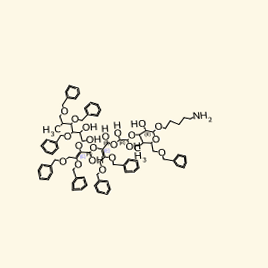 CC(COCc1ccccc1)C(OCc1ccccc1)C(OCc1ccccc1)C(O)C(O)O/C(=C(\COCc1ccccc1)OCc1ccccc1)[C@H](O)O/C(=C(\COCc1ccccc1)OCc1ccccc1)[C@H](O)O[C@@H](O)C(O)OC1C(C)C(COCc2ccccc2)OC(OCCCCCN)[C@@H]1O